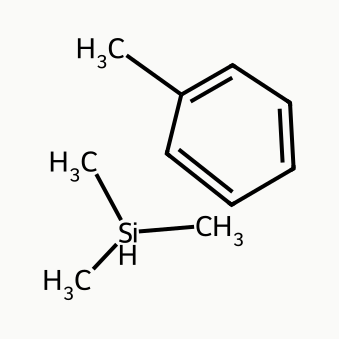 C[SiH](C)C.Cc1ccccc1